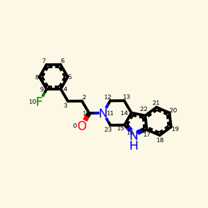 O=C(CCc1ccccc1F)N1CCc2c([nH]c3ccccc23)C1